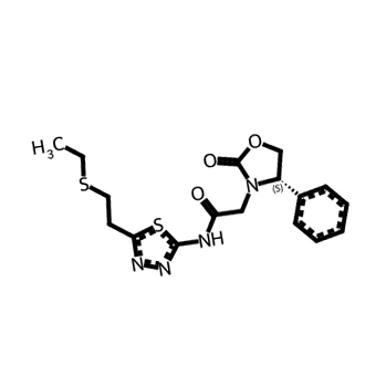 CCSCCc1nnc(NC(=O)CN2C(=O)OC[C@@H]2c2ccccc2)s1